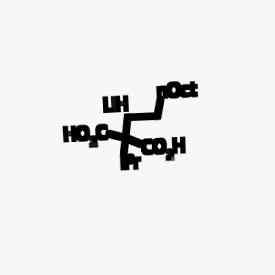 CCCCCCCCCCC(C(=O)O)(C(=O)O)C(C)C.[LiH]